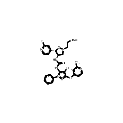 COCCN1C[C@@H](NC(=O)Nc2c(C)c(Oc3ccnc(C(F)(F)F)c3)nn2-c2ccccc2)[C@H](c2ccnc(F)c2)O1